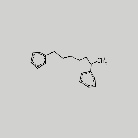 CC(C[CH]CCCc1ccccc1)c1ccccc1